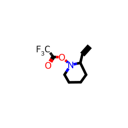 C#CC1CCCCN1OC(=O)C(F)(F)F